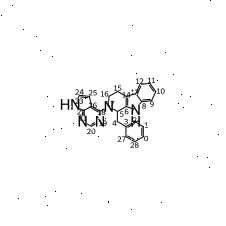 c1ccc(CC2c3[nH]c4ccccc4c3CCN2c2ncnc3[nH]ccc23)cc1